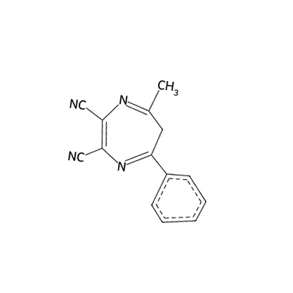 CC1=NC(C#N)=C(C#N)N=C(c2ccccc2)C1